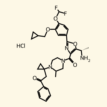 CC1CN(C(=O)c2nc(-c3ccc(OC(F)F)c(OCC4CC4)c3)oc2[C@H](C)N)CCN1C1(CC(=O)c2ccccc2)CC1.Cl